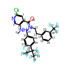 CNc1cnc(Cl)cc1C(=O)N(CCc1cccc(C(F)(F)F)c1)Cc1ccc(C(F)(C(F)(F)F)C(F)(F)F)cc1